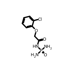 NP(N)(=O)NC(=O)COc1ccccc1Cl